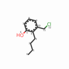 CCCCc1c(O)cccc1CCl